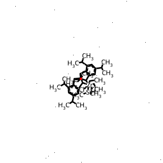 C[CH2][Zr]([Cl])([Cl])([CH2]C)([CH]1C(C)=Cc2c(C(C)C)cc(C(C)C)cc21)([CH]1C(C)=Cc2c(C(C)C)cc(C(C)C)cc21)[SiH](C)C